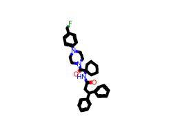 O=C(CC(c1ccccc1)c1ccccc1)NC1(C(=O)N2CCN(c3ccc(CF)cc3)CC2)CCCCC1